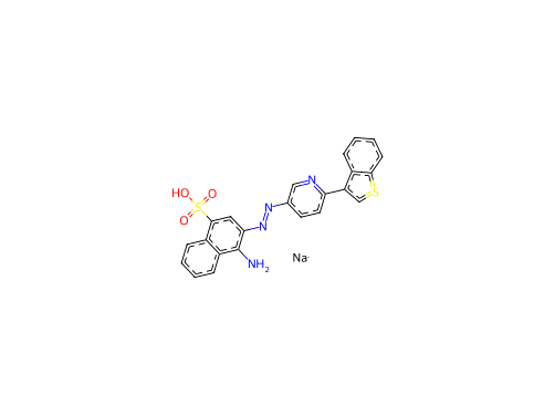 Nc1c(N=Nc2ccc(-c3csc4ccccc34)nc2)cc(S(=O)(=O)O)c2ccccc12.[Na]